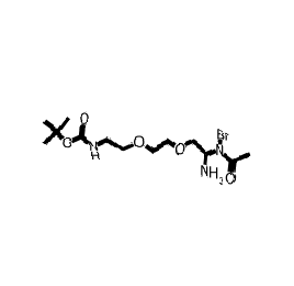 CC(=O)N(Br)C(N)COCCOCCNC(=O)OC(C)(C)C